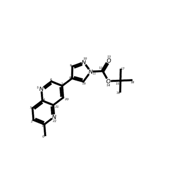 Cc1ccc2ncc(-c3cnn(C(=O)OC(C)(C)C)c3)cc2n1